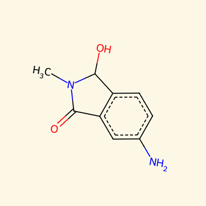 CN1C(=O)c2cc(N)ccc2C1O